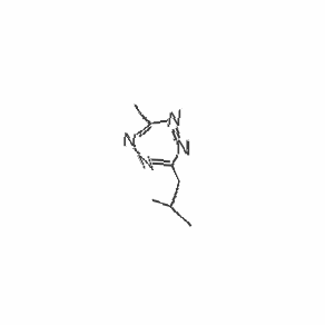 Cc1nnc(CC(C)C)nn1